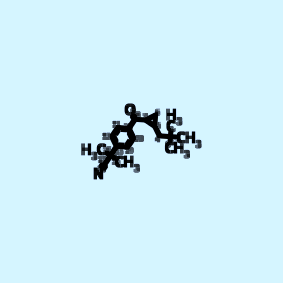 CC(C)(C)CC1CC1C(=O)c1ccc(C(C)(C)C#N)cc1